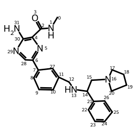 CNC(=O)c1nc(-c2cccc(CNC(CN3CCCC3)c3ccccc3)c2)cnc1N